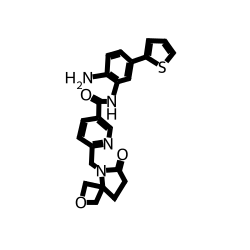 Nc1ccc(-c2cccs2)cc1NC(=O)c1ccc(CN2C(=O)CCC23COC3)nc1